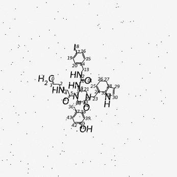 C=CCNCC(=O)N1[C@@H](NC(=O)NCc2ccc(I)cc2)CN(CC2=CCCc3cc[nH]c32)C(=O)[C@@H]1Cc1ccc(O)cc1